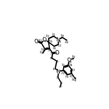 CCCN(CCCC(=O)C1=C(C)C(=O)OC12CCN(CC)CC2)c1cc(I)cc(OC)c1